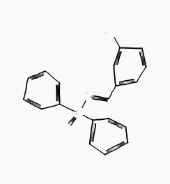 O=P(N=Cc1cccc(Br)c1)(c1ccccc1)c1ccccc1